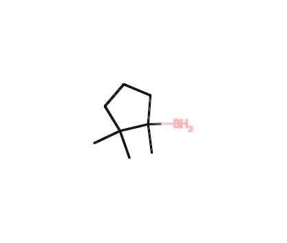 BC1(C)CCCC1(C)C